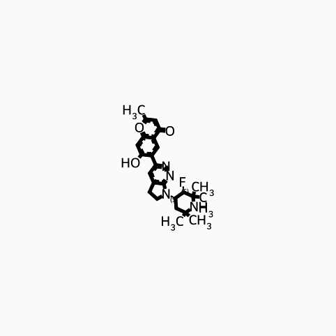 Cc1cc(=O)c2cc(-c3cc4c(nn3)N([C@H]3CC(C)(C)NC(C)(C)[C@H]3F)CC4)c(O)cc2o1